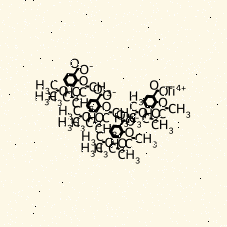 CC(C)Oc1ccc(C(=O)[O-])c(OC(C)C)c1OC(C)C.CC(C)Oc1ccc(C(=O)[O-])c(OC(C)C)c1OC(C)C.CC(C)Oc1ccc(C(=O)[O-])c(OC(C)C)c1OC(C)C.CC(C)Oc1ccc(C(=O)[O-])c(OC(C)C)c1OC(C)C.[Ti+4]